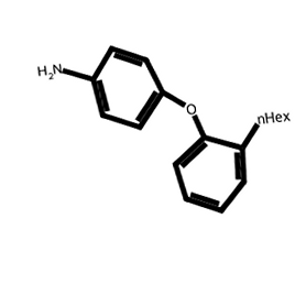 CCCCCCc1ccccc1Oc1ccc(N)cc1